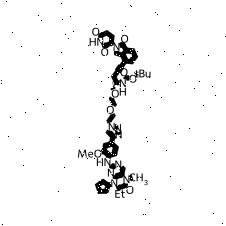 CC[C@@H]1C(=O)N(C)c2cnc(Nc3ccc(-c4cn(CCOCCOC[C@H](CC#Cc5cccc6c5CN(C5CCC(=O)NC5=O)C6=O)NC(=O)OC(C)(C)C)nn4)cc3OC)nc2N1C1CCCC1